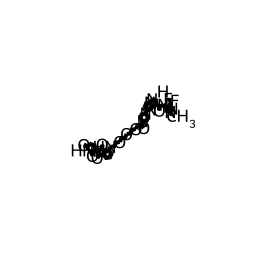 Cn1cc(NC(=O)c2cnn3ccc(N4CCN(C(=O)COCCOCCOCCNc5cccc6c5C(=O)N(C5CCC(=O)NC5=O)C6=O)CC4)nc23)c(C(F)F)n1